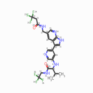 CC(C)C(Nc1cncc(-c2c[nH]c3ncc(CNC(=O)CC(F)(F)F)cc23)c1)C(=O)NCC(F)(F)F